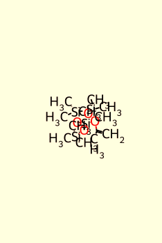 C=C(C)O[Si](O[Si](C)(C)C)(O[Si](C)(C)C)O[Si](C)(C)C